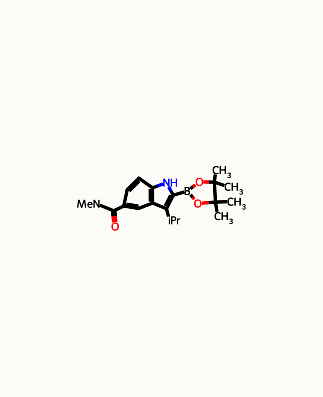 CNC(=O)c1ccc2[nH]c(B3OC(C)(C)C(C)(C)O3)c(C(C)C)c2c1